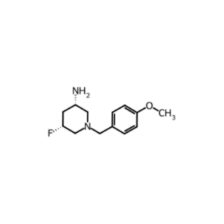 COc1ccc(CN2C[C@@H](N)C[C@@H](F)C2)cc1